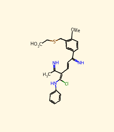 COc1ccc(C(=N)/C=C/C(C(C)=N)=C(\Cl)Nc2ccccc2)cc1CSCC(=O)O